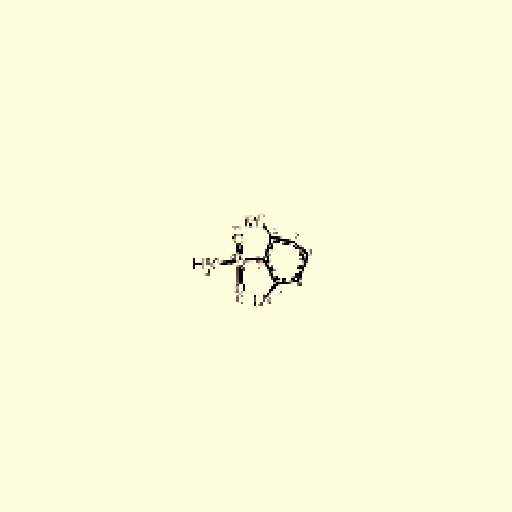 CC(C)c1cccc(Cl)c1S(C)(=O)=O